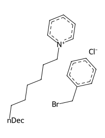 BrCc1ccccc1.CCCCCCCCCCCCCCCC[n+]1ccccc1.[Cl-]